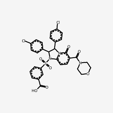 O=C(O)c1cccc(S(=O)(=O)N2c3ccc(C(=O)N4CCOCC4)c(=O)n3C(c3ccc(Cl)cc3)C2c2ccc(Cl)cc2)c1